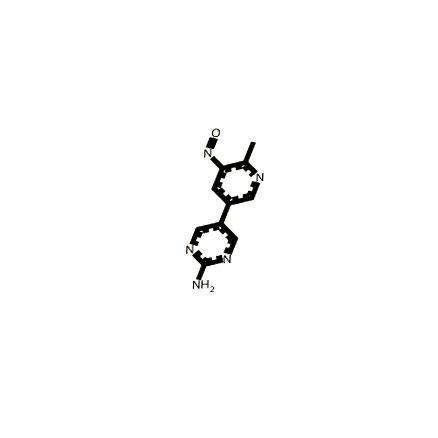 Cc1ncc(-c2cnc(N)nc2)cc1N=O